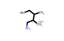 CCCCCC(C)C(C)CN.Cl